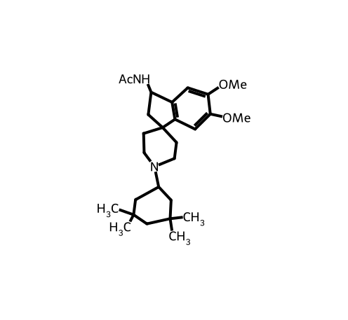 COc1cc2c(cc1OC)C1(CCN(C3CC(C)(C)CC(C)(C)C3)CC1)CC2NC(C)=O